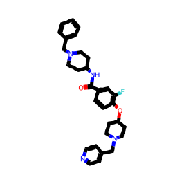 O=C(NC1CCN(Cc2ccccc2)CC1)c1ccc(OC2CCN(Cc3ccncc3)CC2)c(F)c1